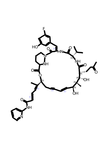 CC(=O)CC[C@H]1C(=O)N[C@@H](C(C)C)C(=O)N/C(=C/c2cc(O)cc(F)c2)C(=O)N2CCCC(N2)C(=O)O[C@H](/C(C)=C/C=C/C(=O)Nc2ccccn2)C/C=C/C=C/[C@H](O)[C@H](C)[C@H]1O